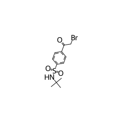 CC(C)(C)NS(=O)(=O)c1ccc(C(=O)CBr)cc1